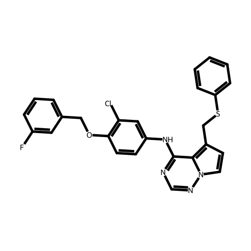 Fc1cccc(COc2ccc(Nc3ncnn4ccc(CSc5ccccc5)c34)cc2Cl)c1